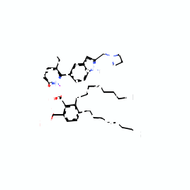 CCCCCCCCc1ccc(C(=O)O)c(C(=O)On2c(-c3ccc4c(c3)cc(CN3CCC3)n4C)c(CC)ccc2=O)c1CCCCCCCC